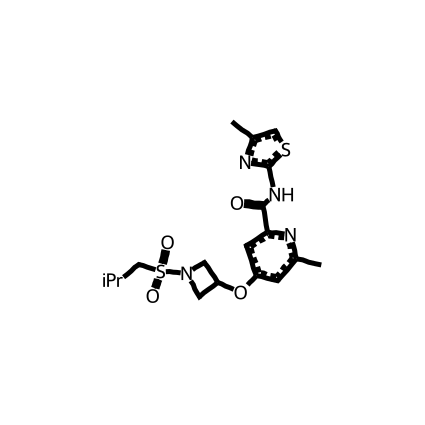 Cc1cc(OC2CN(S(=O)(=O)CC(C)C)C2)cc(C(=O)Nc2nc(C)cs2)n1